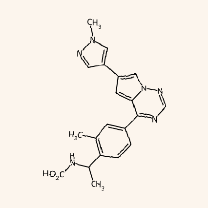 Cc1cc(-c2ncnn3cc(-c4cnn(C)c4)cc23)ccc1C(C)NC(=O)O